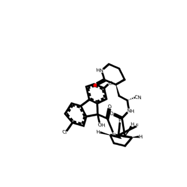 N#C[C@@H](C[C@@H]1CCCNC1=O)NC(=O)[C@@H]1[C@@H]2CC[C@@H](CC2(F)F)N1C(=O)C1(O)c2cc(Cl)ccc2-c2ccc(Cl)cc21